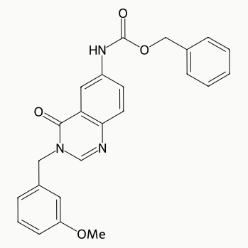 COc1cccc(Cn2cnc3ccc(NC(=O)OCc4ccccc4)cc3c2=O)c1